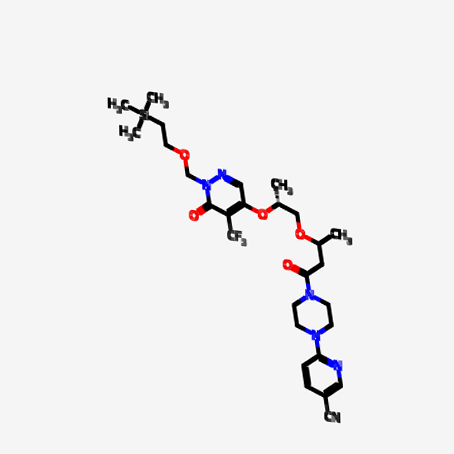 CC(CC(=O)N1CCN(c2ccc(C#N)cn2)CC1)OC[C@@H](C)Oc1cnn(COCC[Si](C)(C)C)c(=O)c1C(F)(F)F